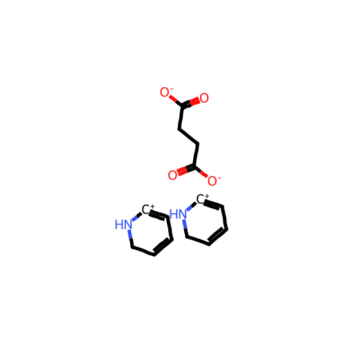 O=C([O-])CCC(=O)[O-].[C+]1=CC=CCN1.[C+]1=CC=CCN1